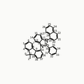 CC1(C)c2ccccc2-c2c(N3c4ccccc4N(c4cccc5ccccc45)P3c3ccccc3)cccc21